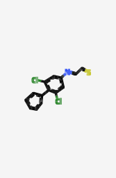 S=CC=Nc1cc(Cl)c(-c2ccccc2)c(Cl)c1